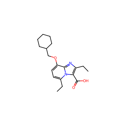 CCc1nc2c(OCC3CCCCC3)ccc(CC)n2c1C(=O)O